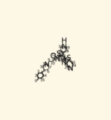 Cc1ccc(C2CCN(CCC(=O)Nc3sc4c(c3-c3nc5cnccc5s3)CCNC4)CC2)cc1